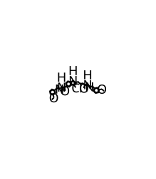 COc1cccc(C=NNC(=O)CCCc2[nH]c3ccc(C(=O)NN=Cc4cccc(OC)c4)cc3c2Cl)c1